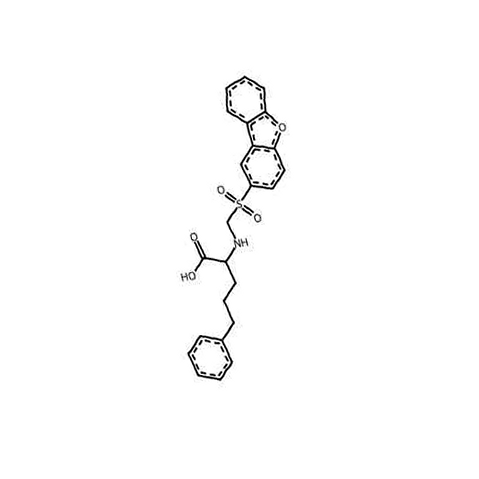 O=C(O)C(CCCc1ccccc1)NCS(=O)(=O)c1ccc2oc3ccccc3c2c1